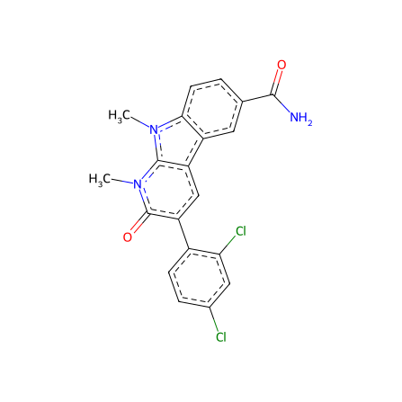 Cn1c(=O)c(-c2ccc(Cl)cc2Cl)cc2c3cc(C(N)=O)ccc3n(C)c21